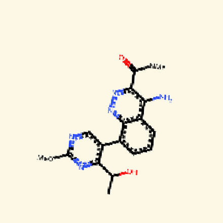 CNC(=O)c1nnc2c(-c3cnc(OC)nc3C(C)O)cccc2c1N